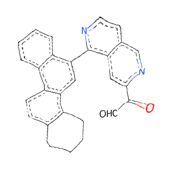 O=CC(=O)c1cc2c(-c3cc4c5c(ccc4c4ccccc34)CCCC5)nccc2cn1